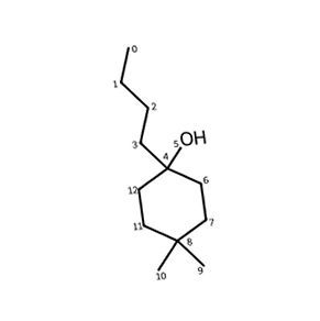 CCCCC1(O)CCC(C)(C)CC1